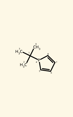 CC(C)(C)p1cccc1